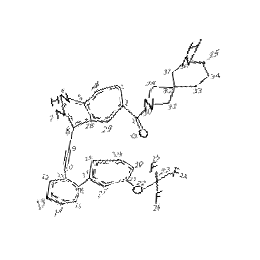 O=C(c1ccc2[nH]nc(C#Cc3ccccc3-c3cccc(OC(F)(F)F)c3)c2c1)N1CC2(CCCNC2)C1